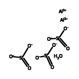 O.O=[Si]([O-])[O-].O=[Si]([O-])[O-].O=[Si]([O-])[O-].[Al+3].[Al+3]